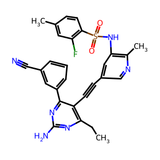 CCc1nc(N)nc(-c2cccc(C#N)c2)c1C#Cc1cnc(C)c(NS(=O)(=O)c2ccc(C)cc2F)c1